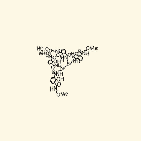 COCCNC(=O)c1cccc(C(=O)NCCN(CCCN(CCNC(=O)c2cccc(C(=O)NCCOC)c2O)CCNC(=O)c2cccc(C(=O)NCCOCC(=O)O)c2O)CCNC(=O)c2cccc(C(=O)NCCOC)c2O)c1O